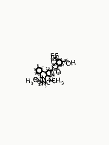 CN(C)c1cc(-c2ccccc2-c2nncn2C)cc(N2Cc3c(cc(CO)cc3C(F)(F)F)C2=O)n1